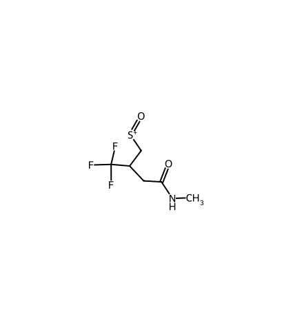 CNC(=O)CC(C[S+]=O)C(F)(F)F